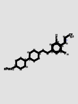 CCCCCC1CCC(C2CCC(CCc3cc(F)c(/C=C/C(F)(F)F)c(F)c3)CC2)CC1